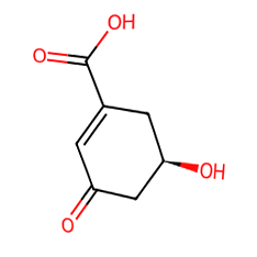 O=C1C=C(C(=O)O)C[C@@H](O)C1